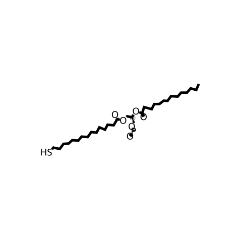 CCCCCCCCCCCCCC(=O)O[C@@H](COP=O)COC(=O)CCCCCCCCCCCCCCS